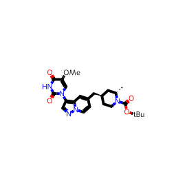 COc1cn(-c2cnn3ccc(C[C@@H]4CCN(C(=O)OC(C)(C)C)[C@@H](C)C4)cc23)c(=O)[nH]c1=O